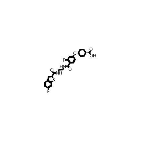 O=C(NCCNC(=O)C1Cc2ccc(F)cc2S1)c1ccc(O[C@H]2CC[C@@H](C(=O)O)CC2)cc1F